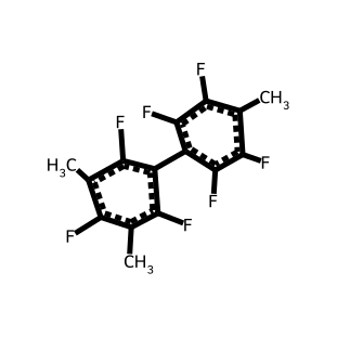 Cc1c(F)c(F)c(-c2c(F)c(C)c(F)c(C)c2F)c(F)c1F